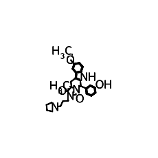 CCOc1ccc2[nH]c3c(c2c1)CC1(C)C(=O)N(CCCN2CCCC2)C(=O)N1C3c1cccc(O)c1